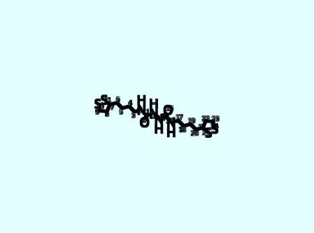 O=C(NCCCCC1CCSS1)NNC(=O)NCCCCC1CCSS1